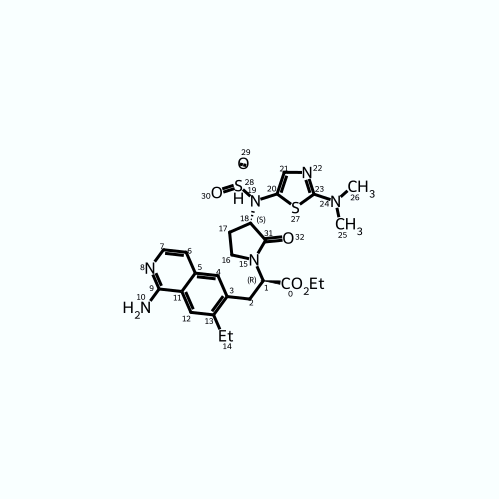 CCOC(=O)[C@@H](Cc1cc2ccnc(N)c2cc1CC)N1CC[C@H](N(c2cnc(N(C)C)s2)[SH](=O)=O)C1=O